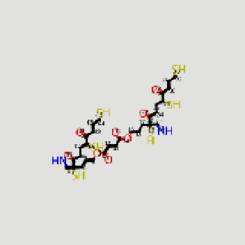 N=CC(S)(CCCOC(=O)CCC(=O)OCCCC(S)(C=N)C(=O)CCC(S)C(=O)CCCS)C(=O)CCC(S)C(=O)CCCS